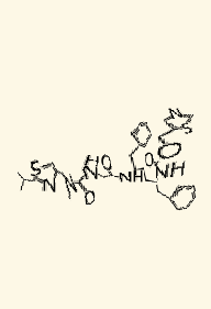 CC(C)c1nc(CN(C)C(=O)NCC(=O)N[C@H](CC[C@H](Cc2ccccc2)NC(=O)OCc2cncs2)Cc2ccccc2)cs1